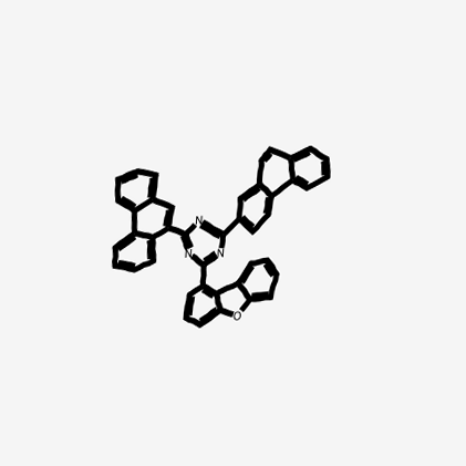 c1ccc2c(c1)ccc1cc(-c3nc(-c4cc5ccccc5c5ccccc45)nc(-c4cccc5oc6ccccc6c45)n3)ccc12